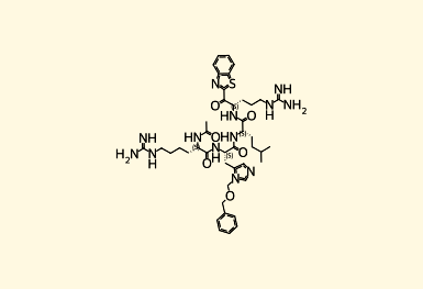 CC(=O)N[C@@H](CCCCNC(=N)N)C(=O)N[C@@H](Cc1cncn1COCc1ccccc1)C(=O)N[C@@H](CCC(C)C)C(=O)N[C@@H](CCCNC(=N)N)C(=O)c1nc2ccccc2s1